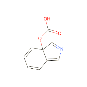 O=C(O)OC12C=CC=CC1=CN=C2